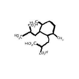 CC1CCC(C)C(CC(C(=O)O)C(=O)O)C1CC(C(=O)O)C(=O)O